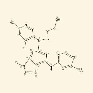 Cc1cc(C#N)ncc1N(CCCO)c1cc(Nc2cc(N)ncn2)c2ncn(C)c2n1